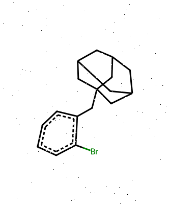 Brc1ccccc1CC12CC3CC(CC(C3)C1)C2